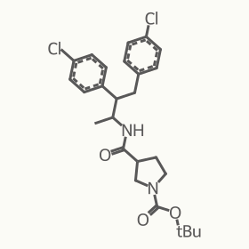 CC(NC(=O)C1CCN(C(=O)OC(C)(C)C)C1)C(Cc1ccc(Cl)cc1)c1ccc(Cl)cc1